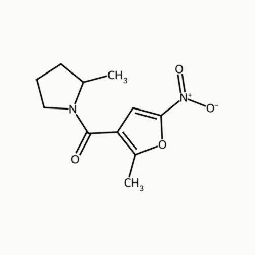 Cc1oc([N+](=O)[O-])cc1C(=O)N1CCCC1C